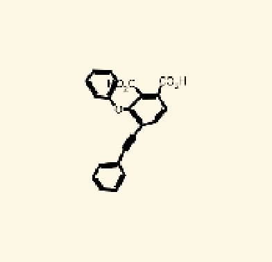 O=C(O)c1ccc(C#Cc2ccccc2)c(Oc2ccccc2)c1C(=O)O